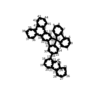 c1ccc2c(c1)-c1ccccc1C21c2ccc(-c3cccc4c3sc3ccccc34)cc2-c2cc3c4ccccc4c4ccccc4c3cc21